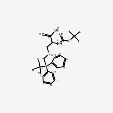 CC(C)(C)OC(=O)NC(COCS(c1ccccc1)(c1ccccc1)C(C)(C)C)C(=O)O